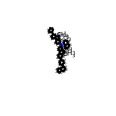 CC1(C)c2cc(-c3ccccc3)ccc2-c2ccc(N(c3ccc4c(c3)C(C)(C)c3cc(-c5ccc(-c6cccc7ccccc67)cc5)ccc3-4)c3cccc4ccccc34)cc21